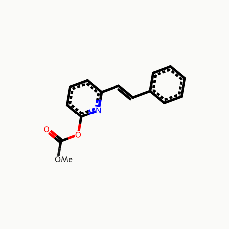 COC(=O)Oc1cccc(C=Cc2ccccc2)n1